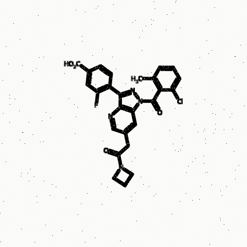 Cc1cccc(Cl)c1C(=O)n1nc(-c2ccc(C(=O)O)cc2F)c2ncc(CC(=O)N3CCC3)cc21